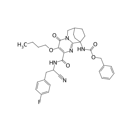 CCCCOc1c(C(=O)NC(C#N)Cc2ccc(F)cc2)nc2n(c1=O)CC1CCC2(NC(=O)OCc2ccccc2)CC1